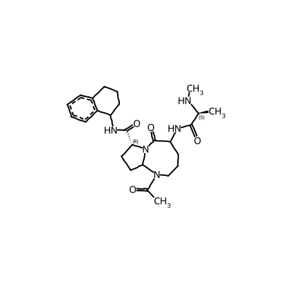 CN[C@@H](C)C(=O)NC1CCCN(C(C)=O)C2CC[C@H](C(=O)NC3CCCc4ccccc43)N2C1=O